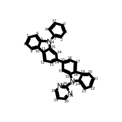 c1ccc(-n2c3ccccc3c3ccc(-c4ccc5c6ccccc6n(-c6ncccn6)c5c4)cc32)cc1